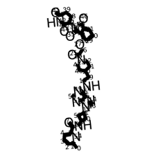 Cc1cccc(C(=O)NC2CC(n3cnc4c(NCCC5CCN(C(=O)COc6cccc7c6C(=O)N([C@H]6CCC(=O)NC6=O)C7=O)CC5)ncnc43)C2)n1